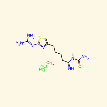 Cl.Cl.N=C(CCCCc1csc(N=C(N)N)n1)NC(N)=O.O